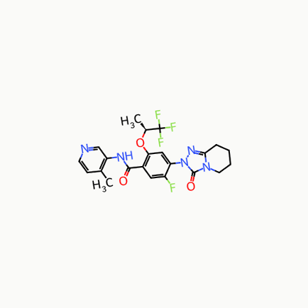 Cc1ccncc1NC(=O)c1cc(F)c(-n2nc3n(c2=O)CCCC3)cc1O[C@@H](C)C(F)(F)F